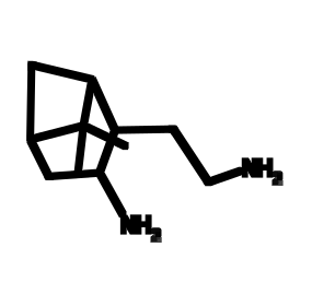 CC1(C)C2CC(N)C(CCN)C1C2